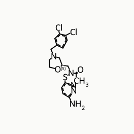 CC(=O)N(C[C@@H]1CN(Cc2ccc(Cl)c(Cl)c2)CCO1)Sc1ccc(N)nn1